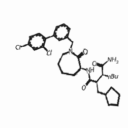 CCCC[C@H](C(N)=O)[C@@H](CC1CCCC1)C(=O)N[C@H]1CCCCN(Cc2cccc(-c3ccc(Cl)cc3Cl)c2)C1=O